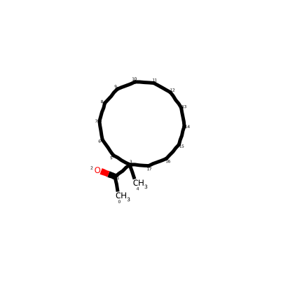 CC(=O)C1(C)CCCCCCCCCCCCC1